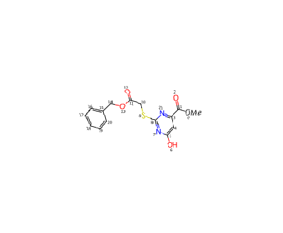 COC(=O)c1cc(O)nc(SCC(=O)OCc2ccccc2)n1